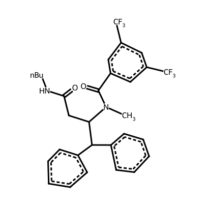 CCCCNC(=O)CC(C(c1ccccc1)c1ccccc1)N(C)C(=O)c1cc(C(F)(F)F)cc(C(F)(F)F)c1